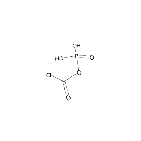 O=C(Cl)OP(=O)(O)O